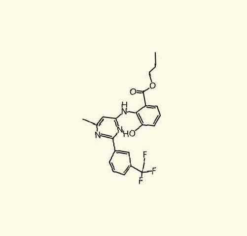 CCCOC(=O)c1cccc(O)c1Nc1cc(C)nc(-c2cccc(C(F)(F)F)c2)n1